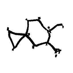 CC(C)C1CC2(CCN1C)CC2